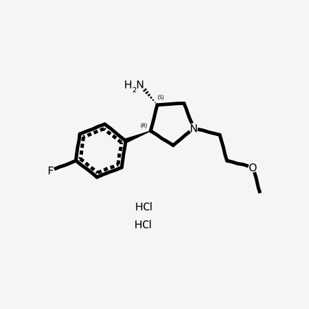 COCCN1C[C@@H](N)[C@H](c2ccc(F)cc2)C1.Cl.Cl